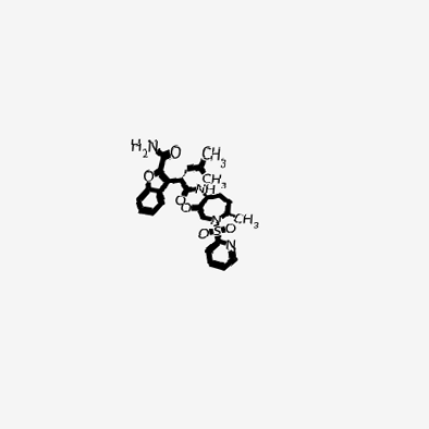 CC(C)C[C@H](C(=O)N[C@H]1CC[C@@H](C)N(S(=O)(=O)c2ccccn2)CC1=O)c1c(C(N)=O)oc2ccccc12